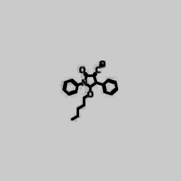 CCCCCOC1C(c2ccccc2)C(=C=O)C(=O)N1c1ccccc1